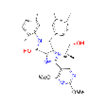 COc1ncc(-c2nc3c(n2[C@H](C)CO)C(c2ccc(C)c(C)c2)N(c2cc(C)ccc2C)C3O)c(OC)n1